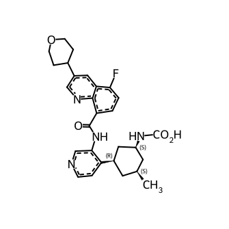 C[C@@H]1C[C@H](NC(=O)O)C[C@H](c2ccncc2NC(=O)c2ccc(F)c3cc(C4CCOCC4)cnc23)C1